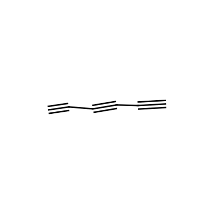 C#CC#CC#C